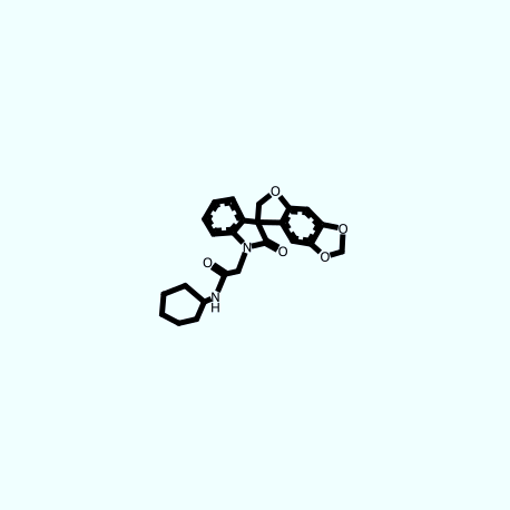 O=C(CN1C(=O)C2(COc3cc4c(cc32)OCO4)c2ccccc21)NC1CCCCC1